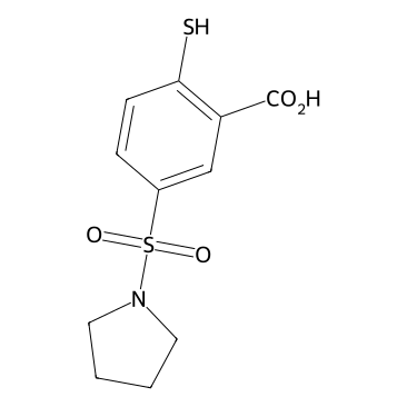 O=C(O)c1cc(S(=O)(=O)N2CCCC2)ccc1S